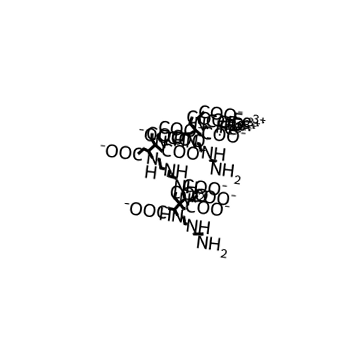 NCCNCCNC(CC(=O)[O-])C(CC(=O)[O-])(CC(=O)[O-])N(CC(=O)[O-])CC(=O)[O-].NCCNCCNC(CC(=O)[O-])C(CC(=O)[O-])(CC(=O)[O-])N(CC(=O)[O-])CC(=O)[O-].NCCNCCNC(CC(=O)[O-])C(CC(=O)[O-])(CC(=O)[O-])N(CC(=O)[O-])CC(=O)[O-].[Fe+3].[Fe+3].[Fe+3].[Fe+3].[Fe+3]